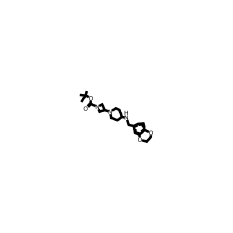 CC(C)(C)OC(=O)N1CC(N2CCC(NCc3ccc4c(c3)OCCO4)CC2)C1